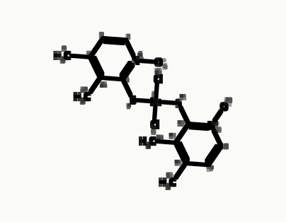 Cc1cc[n+]([O-])c([S][Sn]([Cl])([Cl])[S]c2c(C)c(C)cc[n+]2[O-])c1C